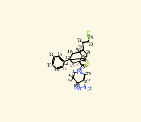 CC1(C)CN(C(=S)C23CC4CC(c5ccccc5)(CC(C2)C4CCF)C3)CC[C@@H]1N